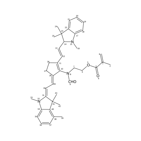 C=C(C)C(=O)OCCN(C=O)C1=C(/C=C/C2N(C)c3ccccc3C2(C)C)CC/C1=C\C=C1\N(C)c2cccc(C)c2C1(C)C